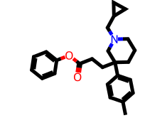 Cc1ccc(C2(CCC(=O)Oc3ccccc3)CCCN(CC3CC3)C2)cc1